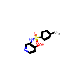 O=S(=O)(Nc1cnccc1O)c1ccc(C(F)(F)F)cc1